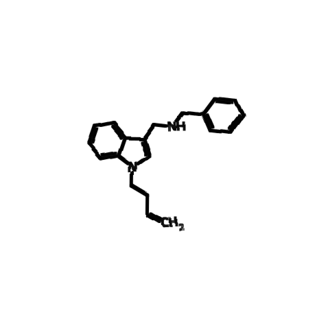 C=CCCn1cc(CNCc2ccccc2)c2ccccc21